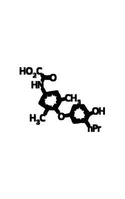 CCCc1cc(Oc2c(C)cc(NC(=O)C(=O)O)cc2C)ccc1O